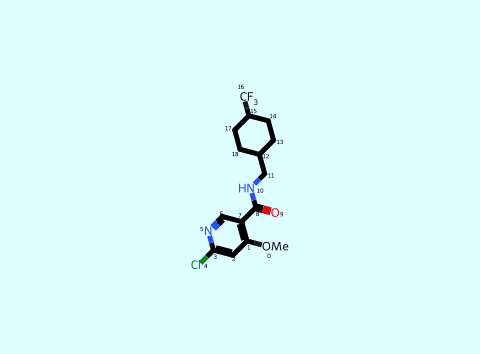 COc1cc(Cl)ncc1C(=O)NCC1CCC(C(F)(F)F)CC1